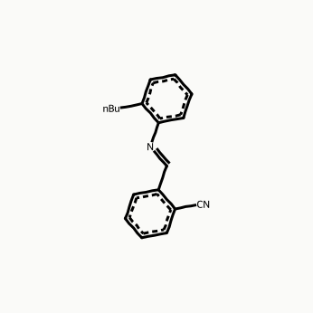 CCCCc1ccccc1/N=C/c1ccccc1C#N